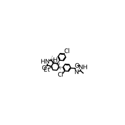 CC[C@@]12CC[C@@H](c3ccc(C4=NC(C)NO4)cc3Cl)[C@H](c3ccc(Cl)cc3)[C@@H]1[C@@H](C)NC2=O